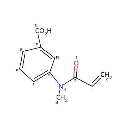 C=CC(=O)N(C)c1cccc(C(=O)O)c1